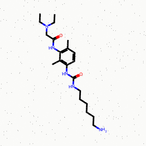 CCN(CC)CC(=O)Nc1c(C)ccc(NC(=O)NCCCCCCN)c1C